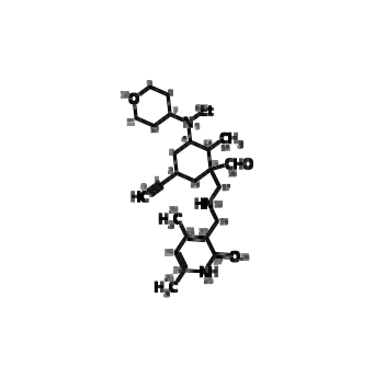 C#CC1CC(N(CC)C2CCOCC2)C(C)C(C=O)(CNCc2c(C)cc(C)[nH]c2=O)C1